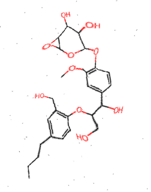 CCCCc1ccc(OC(CO)C(O)c2ccc(OC3OC4OC4C(O)C3O)c(OC)c2)c(CO)c1